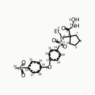 CCN(C1(C(=O)NO)CCCC1)S(=O)(=O)c1ccc(Oc2ccc(S(C)(=O)=O)cc2)cc1